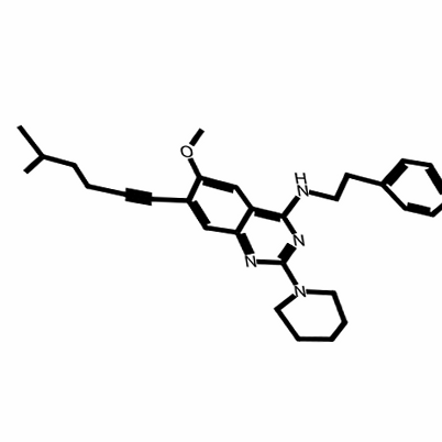 COc1cc2c(NCCc3ccncc3)nc(N3CCCCC3)nc2cc1C#CCCC(C)C